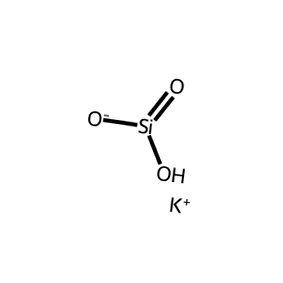 O=[Si]([O-])O.[K+]